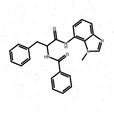 Cn1cnc2cccc(NC(=O)C(Cc3ccccc3)NC(=O)c3ccccc3)c21